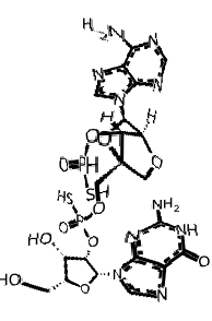 Nc1nc2c(ncn2[C@@H]2O[C@H](CO)[C@H](O)[C@@H]2OP(=O)(S)OC[C@@]23CO[C@H]([C@H](n4cnc5c(N)ncnc54)O2)[C@H]3O[PH](=O)S)c(=O)[nH]1